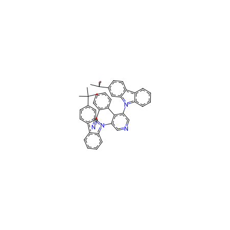 CC(C)(C)c1ccc2c3ccccc3n(-c3cncc(-n4c5ccccc5c5ccc(C(C)(C)C)cc54)c3-c3ccccc3C#N)c2c1